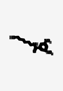 O=C(NCCCCCCO)c1cc([N+](=O)[O-])cc([N+](=O)[O-])c1